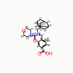 O=C(O)c1ccc(CN(CC23CC4CC(CC(C4)C2)C3)C(=O)N2CCOCC2)c(F)c1